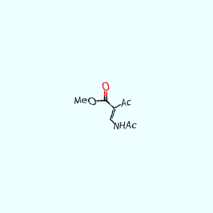 COC(=O)C(=CNC(C)=O)C(C)=O